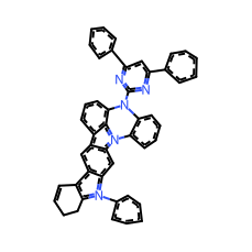 C1=Cc2c(n(-c3ccccc3)c3cc4c(cc23)c2cccc3c2n4-c2ccccc2N3c2nc(-c3ccccc3)cc(-c3ccccc3)n2)CC1